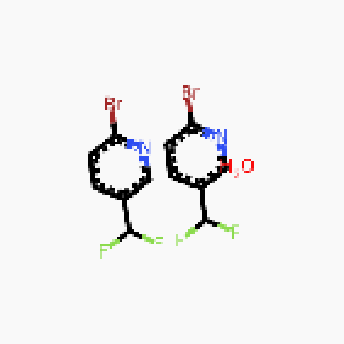 FC(F)c1ccc(Br)nc1.FC(F)c1ccc(Br)nc1.O